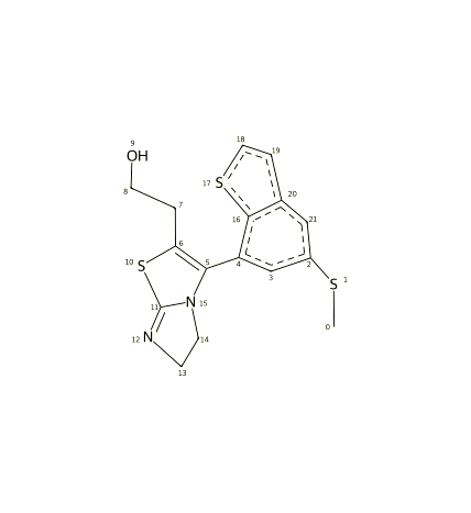 CSc1cc(C2=C(CCO)SC3=NCCN32)c2sccc2c1